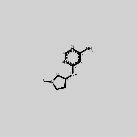 CN1CCC(Nc2cc(N)ncn2)C1